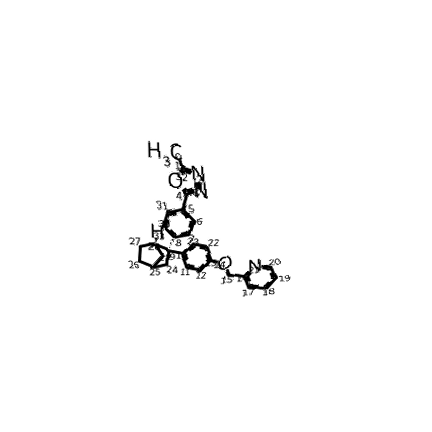 Cc1nnc(-c2ccc([C@]3(c4ccc(OCc5ccccn5)cc4)CC4CC[C@@H]3C4)cc2)o1